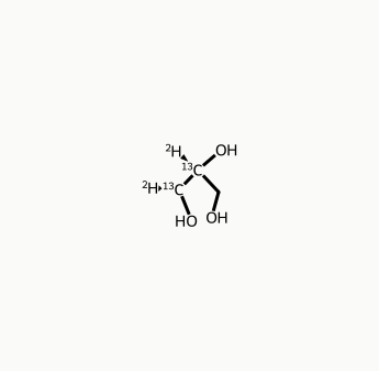 [2H][13C@H](O)[13C@]([2H])(O)CO